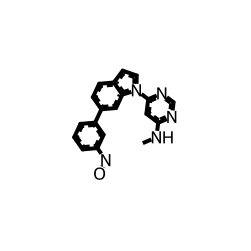 CNc1cc(-n2ccc3ccc(-c4cccc(N=O)c4)cc32)ncn1